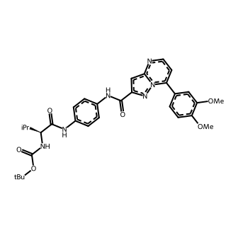 COc1ccc(-c2ccnc3cc(C(=O)Nc4ccc(NC(=O)[C@@H](NC(=O)OC(C)(C)C)C(C)C)cc4)nn23)cc1OC